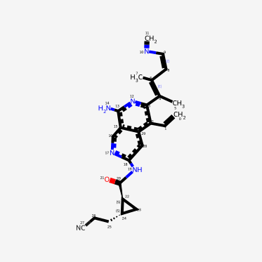 C=Cc1c(/C(C)=C(C)/C=C\N=C)nc(N)c2cnc(NC(=O)[C@H]3C[C@@H]3CCC#N)cc12